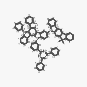 CC1(C)c2ccccc2-c2cc3c4ccccc4n(-c4ccc5c(c4)c4c6oc7ccccc7c6c6c(c7ccccc7n6-c6ccccc6)c4n5-c4cccc(-c5nc(-c6ccccc6)nc(-c6ccccc6)n5)c4)c3cc21